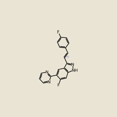 Fc1ccc(/C=C/c2n[nH]c3cc(F)c(-c4ncccn4)cc23)cc1